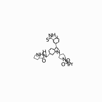 CC(C)S(=O)(=O)N1CCC(n2cc(-c3cccc(C(N)=S)c3)c3ccc(CNC(=O)C4CCCN4)cc32)CC1